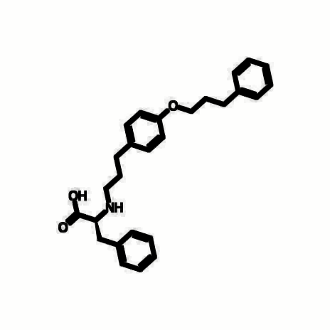 O=C(O)[C@H](Cc1ccccc1)NCCCc1ccc(OCCCc2ccccc2)cc1